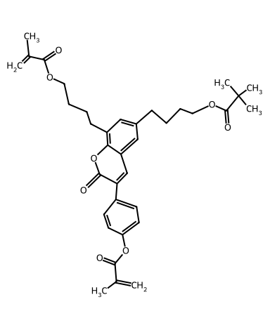 C=C(C)C(=O)OCCCCc1cc(CCCCOC(=O)C(C)(C)C)cc2cc(-c3ccc(OC(=O)C(=C)C)cc3)c(=O)oc12